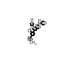 Cc1nc(-c2ccc(-c3cc4cnc(NC5CCOCC5)nc4n(C4CCNC4)c3=O)c(Cl)c2)no1